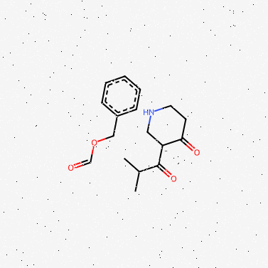 CC(C)C(=O)C1CNCCC1=O.O=COCc1ccccc1